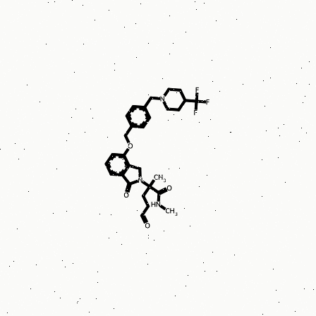 CNC(=O)C(C)(CCC=O)N1Cc2c(OCc3ccc(CN4CCC(C(F)(F)F)CC4)cc3)cccc2C1=O